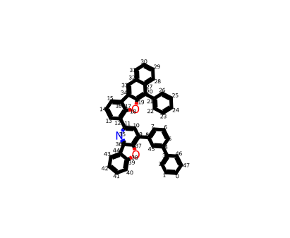 c1ccc(-c2cccc(-c3cc(-c4cccc5c4oc4c(-c6ccccc6)c6ccccc6cc45)nc4c3oc3ccccc34)c2)cc1